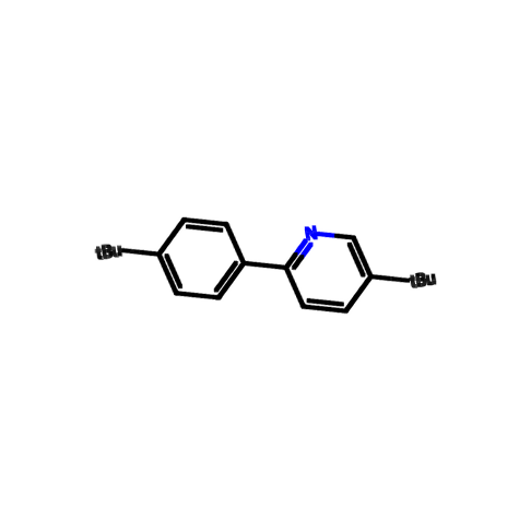 CC(C)(C)c1ccc(-c2ccc(C(C)(C)C)cn2)cc1